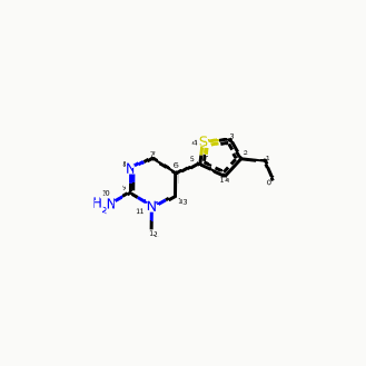 CCc1csc(C2CN=C(N)N(C)C2)c1